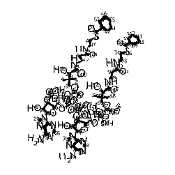 C=O.CC(C)(COP(=O)(O)OP(=O)(O)OC[C@H]1O[C@@H](n2cnc3c(N)ncnc32)[C@H](O)[C@@H]1OP(=O)(O)O)C(O)C(=O)NCCC(=O)NCCSC(=O)c1ccccc1.CC(C)(COP(=O)(O)OP(=O)(O)OC[C@H]1O[C@@H](n2cnc3c(N)ncnc32)[C@H](O)[C@@H]1OP(=O)(O)O)C(O)C(=O)NCCC(=O)NCCSC(=O)c1ccccc1